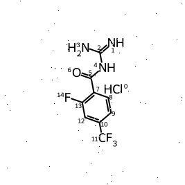 Cl.N=C(N)NC(=O)c1ccc(C(F)(F)F)cc1F